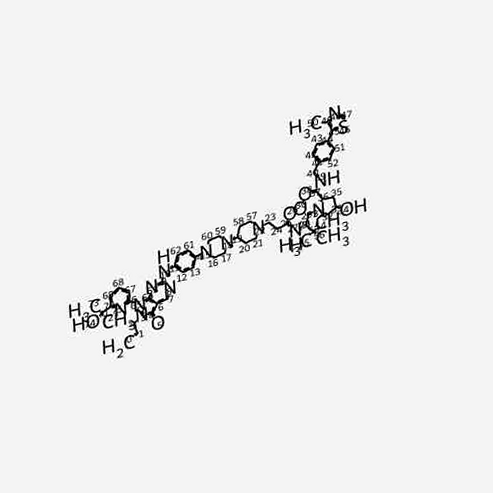 C=CCn1c(=O)c2cnc(Nc3ccc(N4CCN(C5CCN(CCC(=O)N[C@H](C(=O)N6CC(O)CC6C(=O)NCc6ccc(-c7scnc7C)cc6)C(C)(C)C)CC5)CC4)cc3)nc2n1-c1cccc(C(C)(C)O)n1